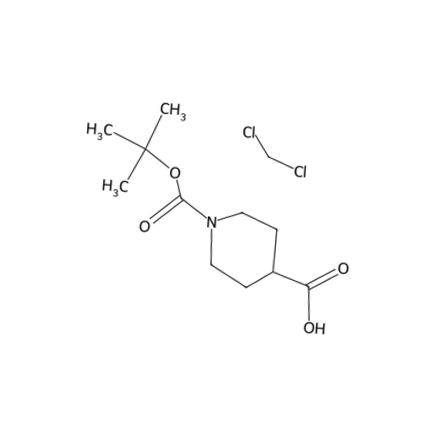 CC(C)(C)OC(=O)N1CCC(C(=O)O)CC1.ClCCl